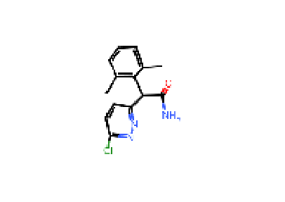 Cc1cccc(C)c1C(C(N)=O)c1ccc(Cl)nn1